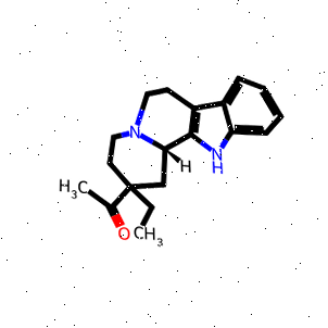 CCC1(C(C)=O)CCN2CCc3c([nH]c4ccccc34)[C@@H]2C1